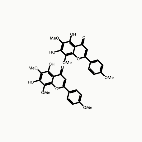 COc1ccc(-c2cc(=O)c3c(O)c(OC)c(O)c(OC)c3o2)cc1.COc1ccc(-c2cc(=O)c3c(O)c(OC)c(O)c(OC)c3o2)cc1